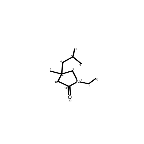 CCN1CC(C)(CC(C)C)CC1=O